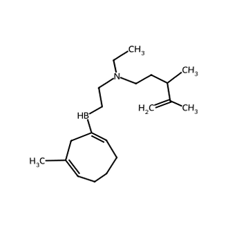 C=C(C)C(C)CCN(CC)CCB/C1=C/CCC/C=C(/C)C1